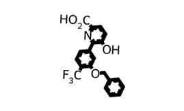 O=C(O)c1ccc(O)c(-c2ccc(C(F)(F)F)c(OCc3ccccc3)c2)n1